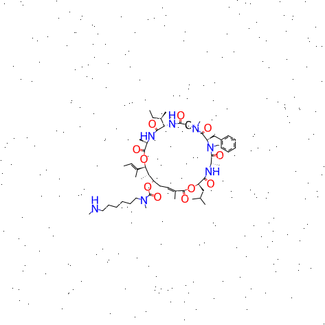 C/C=C(\C)[C@H]1OC(=O)[C@@H](C)NC(=O)[C@H]([C@H](C)CC)NC(=O)CN(C)C(=O)[C@@H](Cc2ccccc2)N(C)C(=O)[C@H](C)NC(=O)[C@@H](CC(C)C)OC(=O)/C(C)=C/C[C@H](OC(=O)N(C)CCCCCCNC)[C@@H]1C